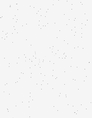 C=C/C=N\c1cc(/C=C/C(=O)NN=O)ccc1C